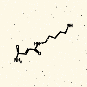 NC(=O)C=CC(=O)NCCCCCS